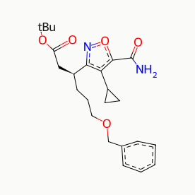 CC(C)(C)OC(=O)C[C@H](CCCOCc1ccccc1)c1noc(C(N)=O)c1C1CC1